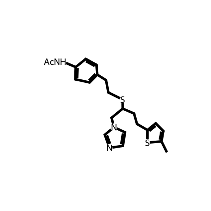 CC(=O)Nc1ccc(CCSC(CCc2ccc(C)s2)Cn2ccnc2)cc1